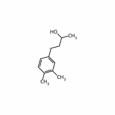 Cc1ccc([CH]CC(C)O)cc1C